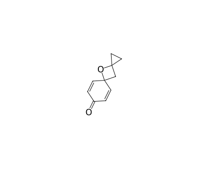 O=C1C=CC2(C=C1)CC1(CC1)O2